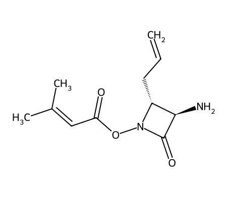 C=CC[C@@H]1[C@@H](N)C(=O)N1OC(=O)C=C(C)C